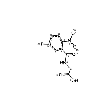 O=C(O)CNC(=O)c1cc(F)ccc1[N+](=O)[O-]